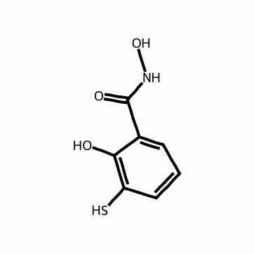 O=C(NO)c1cccc(S)c1O